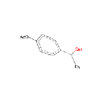 CC(=O)Oc1ccc(C(O)C#N)cc1